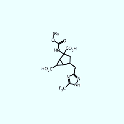 CC(C)(C)OC(=O)NC1(C(=O)O)C[C@@H](Sc2n[nH]c(C(F)(F)F)n2)C2C(C(=O)O)C21